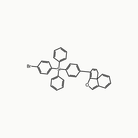 Brc1ccc([Si](c2ccccc2)(c2ccccc2)c2ccc(C3=C4OC=C5C=CC=CC54CC=C3)cc2)cc1